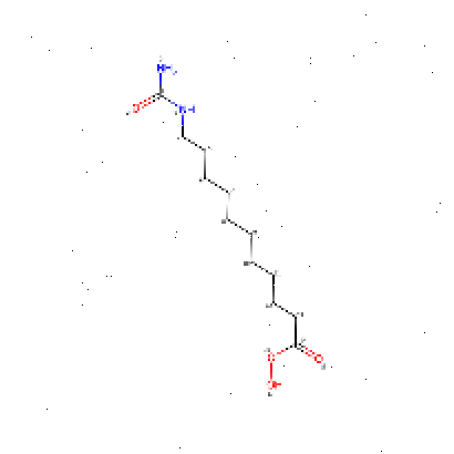 NC(=O)NCCCCCCCCCCC(=O)OO